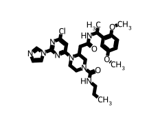 CCCNC(=O)N1CCN(c2cc(Cl)nc(-n3ccnc3)n2)C(CC(=O)NC(C)c2cc(OC)ccc2OC)C1